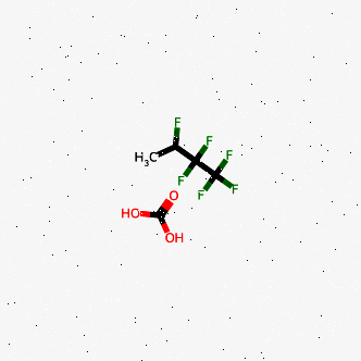 CC(F)C(F)(F)C(F)(F)F.O=C(O)O